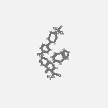 CS(=O)(=O)N1CCC(c2ccc(Nc3ncc4c(=O)c(C(N)=O)cn(-c5ccc6c(c5)CCC6)c4n3)cc2)CC1